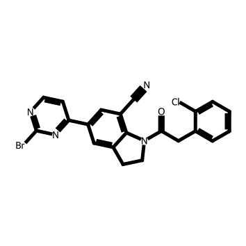 N#Cc1cc(-c2ccnc(Br)n2)cc2c1N(C(=O)Cc1ccccc1Cl)CC2